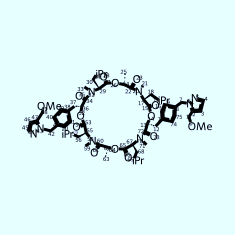 COCc1ccnn1Cc1ccc(C[C@H]2OC(=O)[C@H](CC(C)C)N(C)C(=O)[C@@H](C)OC(=O)[C@H](CC(C)C)N(C)C(=O)[C@@H](Cc3ccc(Cn4nccc4COC)cc3)OC(=O)[C@H](CC(C)C)N(C)C(=O)[C@@H](C)OC(=O)[C@H](CC(C)C)N(C)C2=O)cc1